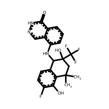 CC1(C)CC(O)(C(F)(F)F)C(Nc2cccc3c(=O)[nH]ncc23)c2ccc(F)c(O)c21